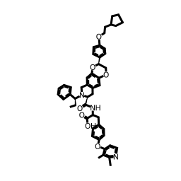 CC[C@@H](c1ccccc1)N1Cc2cc3c(cc2C[C@H]1C(=O)NC(Cc1ccc(Oc2ccnc(C)c2C)cc1)C(=O)O)OC[C@H](c1ccc(OCCC2CCCC2)cc1)O3